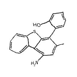 Cc1cc(N)c2c(sc3ccccc32)c1-c1ccccc1O